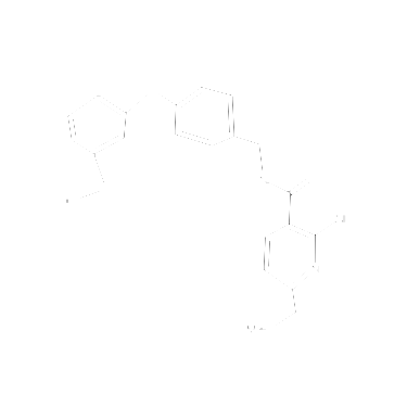 CCCOc1cccc(Oc2ccc(CNC(=O)c3ccc(COC)nc3N)cc2)c1